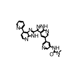 CN(C)C(=O)Nc1cncc(-c2cnc3[nH]nc(-c4nc5c(-c6ccccn6)ccnc5[nH]4)c3c2)c1